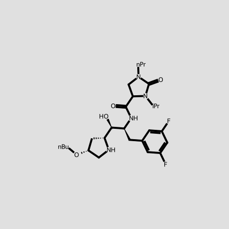 CCCCO[C@H]1CN[C@@H]([C@@H](O)[C@H](Cc2cc(F)cc(F)c2)NC(=O)C2CN(CCC)C(=O)N2C(C)C)C1